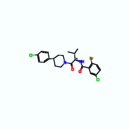 CC(C)[C@@H](NC(=O)c1cc(Cl)ccc1Br)C(=O)N1CCC(c2ccc(Cl)cc2)CC1